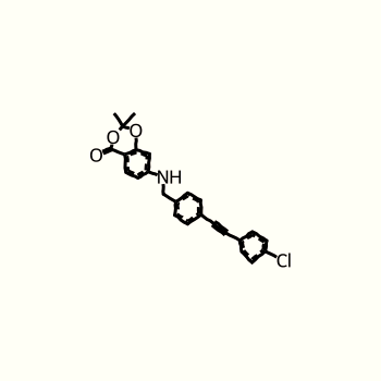 CC1(C)OC(=O)c2ccc(NCc3ccc(C#Cc4ccc(Cl)cc4)cc3)cc2O1